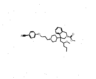 CCCC(CC1(C2CCN(CCCOc3ccc(C#N)cc3)CC2)CN(C(=O)OC)Cc2ccccc21)OC